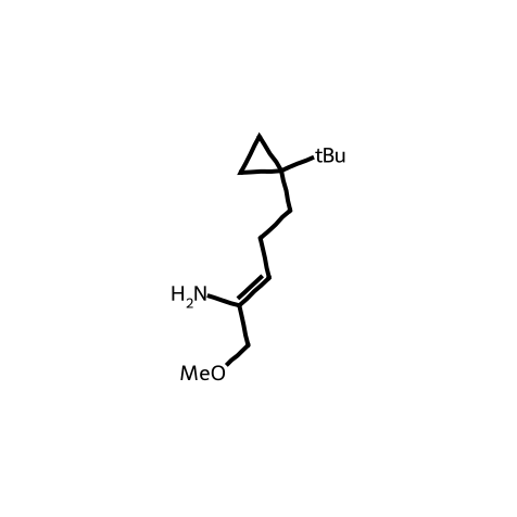 COCC(N)=CCCC1(C(C)(C)C)CC1